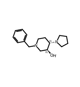 O[C@H]1CN(Cc2ccccc2)CC[C@@H]1N1CCCC1